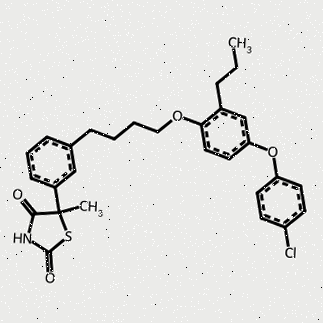 CCCc1cc(Oc2ccc(Cl)cc2)ccc1OCCCCc1cccc(C2(C)SC(=O)NC2=O)c1